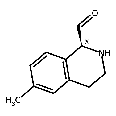 Cc1ccc2c(c1)CCN[C@@H]2C=O